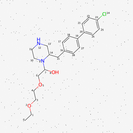 CCOCCOCC(O)N1CCNCC1Cc1ccc(-c2ccc(Cl)cc2)cc1